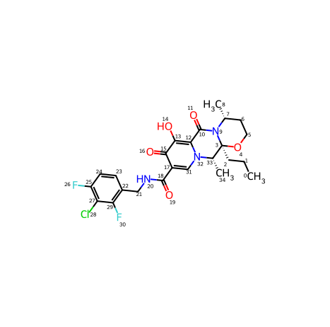 CCC[C@@]12OCC[C@@H](C)N1C(=O)c1c(O)c(=O)c(C(=O)NCc3ccc(F)c(Cl)c3F)cn1[C@H]2C